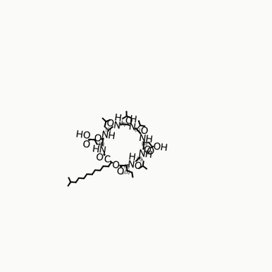 CC[C@H](C)[C@@H]1NC(=O)[C@@H](CC(C)C)NC(=O)[C@H](CC(=O)O)NC(=O)[C@H](C(C)C)NC(=O)[C@@H](CC(C)C)NC(=O)[C@H](CC(C)C)NC(=O)[C@H](CCC(=O)O)NC(=O)CC(CCCCCCCCCC(C)C)OC1=O